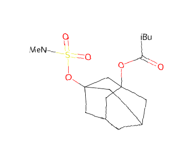 CCC(C)C(=O)OC12CC3CC(C1)CC(OS(=O)(=O)NC)(C3)C2